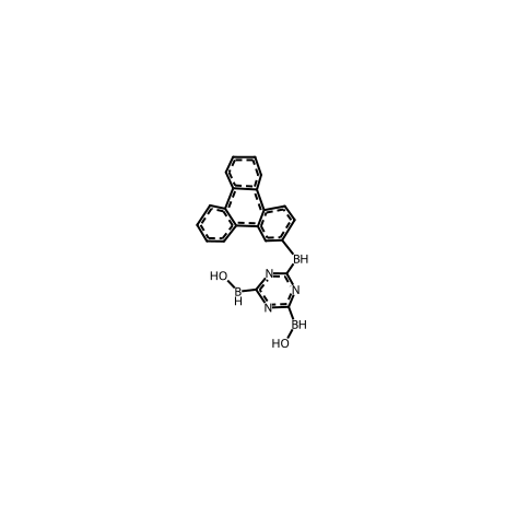 OBc1nc(BO)nc(Bc2ccc3c4ccccc4c4ccccc4c3c2)n1